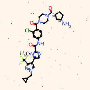 Cn1c(-c2cn(CC3CC3)nc2C(F)(F)F)cnc1C(=O)Nc1ccc(C(=O)N2CCN(C(=O)[C@@H]3CC[C@@H](N)C3)CC2)c(Cl)c1